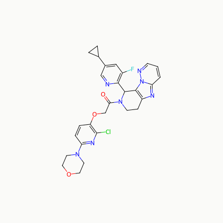 O=C(COc1ccc(N2CCOCC2)nc1Cl)N1CCc2nc3cccnn3c2C1c1ncc(C2CC2)cc1F